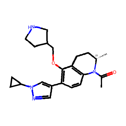 CC(=O)N1c2ccc(-c3cnn(C4CC4)c3)c(OCC3CCNC3)c2CC[C@@H]1C